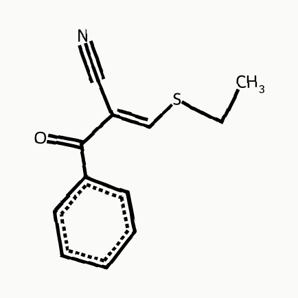 CCSC=C(C#N)C(=O)c1ccccc1